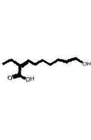 CCC(=CCCCCCCO)C(=O)O